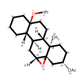 CCCO[C@]12CCCC[C@H]1[C@@H]1C[C@H]3O[C@]34C[C@@H](OC(C)=O)CC[C@]4(C)[C@H]1CC2